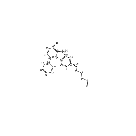 CCCCCOc1ccc2c(c1)[nH]c1c(C)ccc(-c3ccccc3)c12